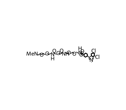 CNCCOCCOCCNC(=O)COCC(=O)NCCOCCOCCNS(=O)(=O)c1ccc(C2CN(C)Cc3c(Cl)cc(Cl)cc32)cc1